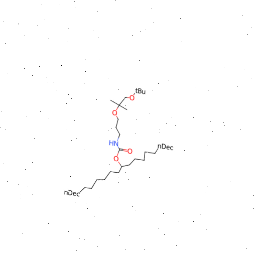 CCCCCCCCCCCCCCCCC(CCCCCCCCCCCCCCC)OC(=O)NCCCOC(C)(C)COC(C)(C)C